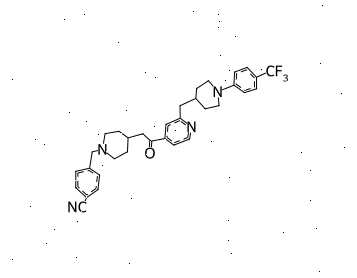 N#Cc1ccc(CN2CCC(CC(=O)c3ccnc(CC4CCN(c5ccc(C(F)(F)F)cc5)CC4)c3)CC2)cc1